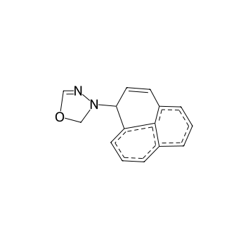 C1=CC(N2COC=N2)c2cccc3cccc1c23